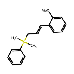 COc1ccccc1/C=C/CS(C)(C)c1ccccc1